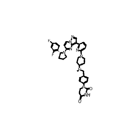 CN(Cc1ccc(N2CCC(=O)NC2=O)cc1)C1CCN(c2cccc(-c3cnn4ccc(N5CCC[C@@H]5c5ccc(F)cc5F)nc34)n2)CC1